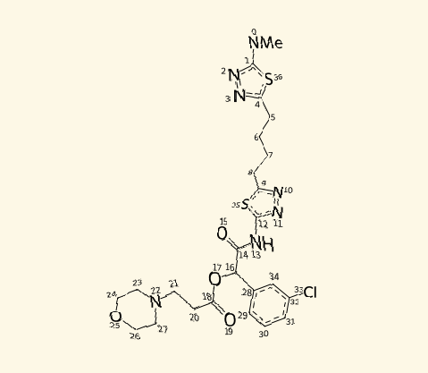 CNc1nnc(CCCCc2nnc(NC(=O)C(OC(=O)CCN3CCOCC3)c3cccc(Cl)c3)s2)s1